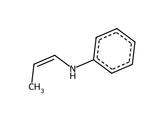 C/C=C\Nc1ccccc1